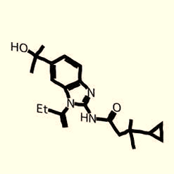 C=C(CC)n1c(NC(=O)CC(C)(C)C2CC2)nc2ccc(C(C)(C)O)cc21